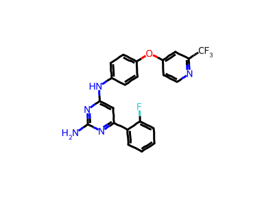 Nc1nc(Nc2ccc(Oc3ccnc(C(F)(F)F)c3)cc2)cc(-c2ccccc2F)n1